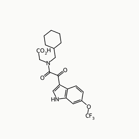 O=C(O)CN(CC1CCCCC1)C(=O)C(=O)c1c[nH]c2cc(OC(F)(F)F)ccc12